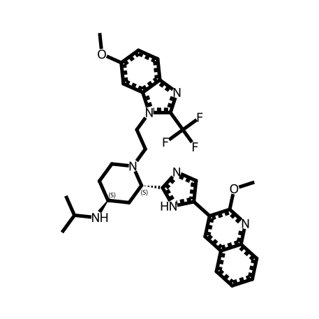 COc1ccc2nc(C(F)(F)F)n(CCN3CC[C@H](NC(C)C)C[C@H]3c3ncc(-c4cc5ccccc5nc4OC)[nH]3)c2c1